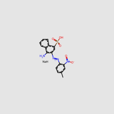 Cc1ccc(/N=N/c2cc(S(=O)(=O)O)c3ccccc3c2N)c([N+](=O)[O-])c1.[NaH]